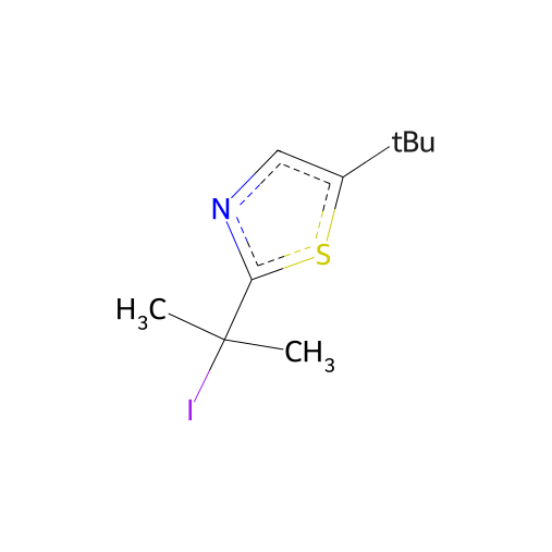 CC(C)(C)c1cnc(C(C)(C)I)s1